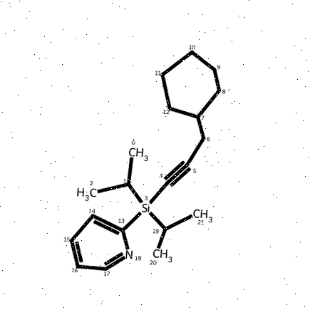 CC(C)[Si](C#CCC1CCCCC1)(c1ccccn1)C(C)C